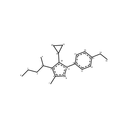 CCCC(C)c1c(C)nn(-c2ccc(CC)cc2)c1C1CC1